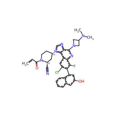 C=CC(=O)N1CC[C@H](n2cnc3c(N4CC(N(C)C)C4)nc4c(F)c(-c5cc(O)cc6ccccc56)c(Cl)cc4c32)C[C@H]1C#N